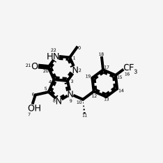 Cc1nc2c(c(CO)nn2[C@@H](C)c2ccc(C(F)(F)F)c(C)c2)c(=O)[nH]1